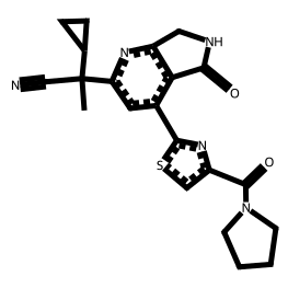 CC(C#N)(c1cc(-c2nc(C(=O)N3CCCC3)cs2)c2c(n1)CNC2=O)C1CC1